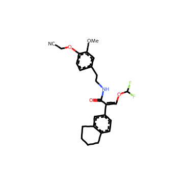 COc1cc(CCNC(=O)C(=COC(F)F)c2ccc3c(c2)CCCC3)ccc1OCC#N